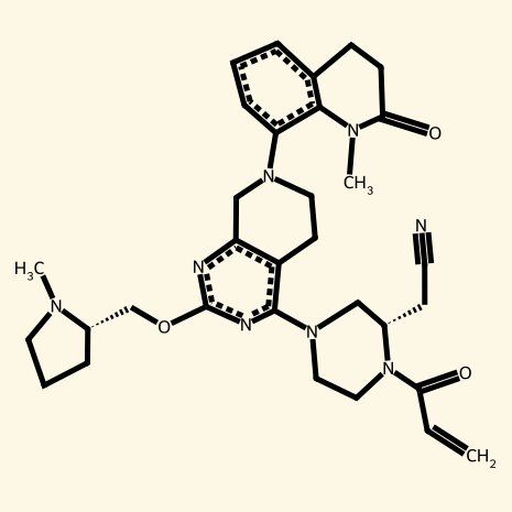 C=CC(=O)N1CCN(c2nc(OC[C@@H]3CCCN3C)nc3c2CCN(c2cccc4c2N(C)C(=O)CC4)C3)C[C@@H]1CC#N